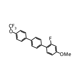 COc1ccc(-c2ccc(-c3ccc(OC(F)(F)F)cc3)cc2)c(F)c1